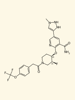 CN1C=C(c2cnc(O[C@@H]3CCN(C(=O)Cc4ccc(OC(F)(F)F)cc4)C[C@@H]3F)c(C(N)=O)c2)NN1